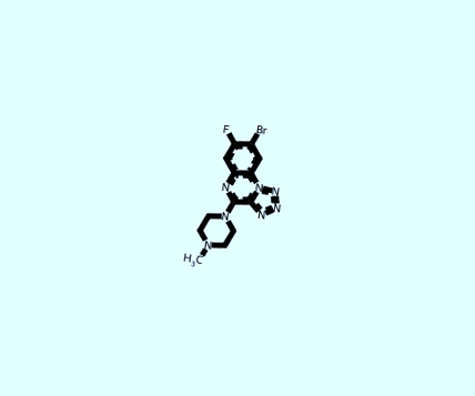 CN1CCN(c2nc3cc(F)c(Br)cc3n3nnnc23)CC1